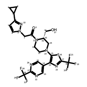 O=C(Cn1ccc(C2CC2)n1)N1CCN(c2sc(C(F)(F)F)nc2-c2cnc(C(F)(F)F)nc2)C[C@H]1CO